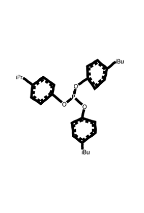 CCC(C)c1ccc(OP(Oc2ccc(C(C)C)cc2)Oc2ccc(C(C)CC)cc2)cc1